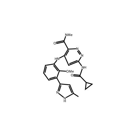 CNC(=O)c1nnc(NC(=O)C2CC2)cc1Nc1cccc(-c2cc(C)[nH]n2)c1OC